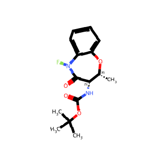 C[C@H]1Oc2ccccc2N(F)C(=O)[C@H]1NC(=O)OC(C)(C)C